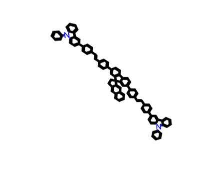 C(=C\c1ccc(-c2ccc3c(c2)c2ccccc2n3-c2ccccc2)cc1)/c1ccc(-c2ccc3c(c2)C2(CCc4cc5ccccc5cc42)c2cc(-c4ccc(/C=C/c5ccc(-c6ccc7c(c6)c6ccccc6n7-c6ccccc6)cc5)cc4)ccc2-3)cc1